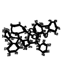 CC1(C)c2ccccc2C2(c3ccccc3-c3ccccc32)c2cccc(N(c3ccccc3)c3cccc4c3oc3ccccc34)c21